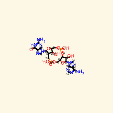 Nc1nc2c(ncn2C2OC3COP(O)OC4C(COP(=O)(O)CC2C3O)OC(n2cnc3c(N)ncnc32)C4O)c(=O)[nH]1